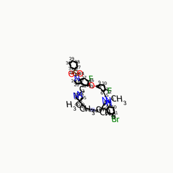 Cn1nc2nc1-c1cc(ccc1F)Oc1c(F)cc3c(ccn3S(=O)(=O)c3ccccc3)c1Cn1cc(cn1)C(C)(C)C/C=C\CC2(C)c1cccc(Br)c1